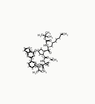 C=CCCCCC[C@H](NC(=O)OC(C)(C)C)C(=O)N1C[C@H](Oc2nc(-c3cccc(NC(C)C)n3)nc3ccsc23)C[C@@H]1C(=O)N[C@]1(C(=O)O)C[C@H]1C=C